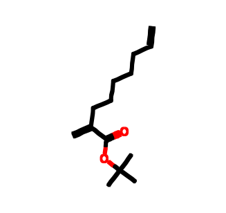 C=CCCCCCC(=C)C(=O)OC(C)(C)C